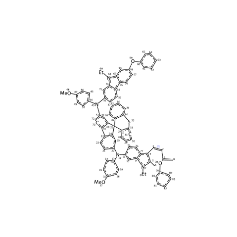 C=C(/C=C\c1c(C)n(CC)c2cc(N(c3ccc(OC)cc3)c3ccc4c(c3)C3(c5ccccc5Sc5ccccc53)c3cc(N(c5ccc(OC)cc5)c5ccc6c7ccc(Oc8ccccc8)cc7n(CC)c6c5)ccc3-4)ccc12)Oc1ccccc1